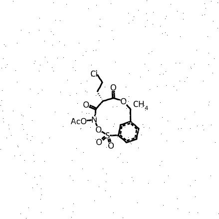 C.CC(=O)ON1OS(=O)(=O)c2cccc(c2)COC(=O)[C@@H](CCCl)C1=O